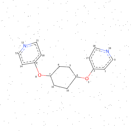 c1cc(OC2CCC(Oc3ccncc3)CC2)ccn1